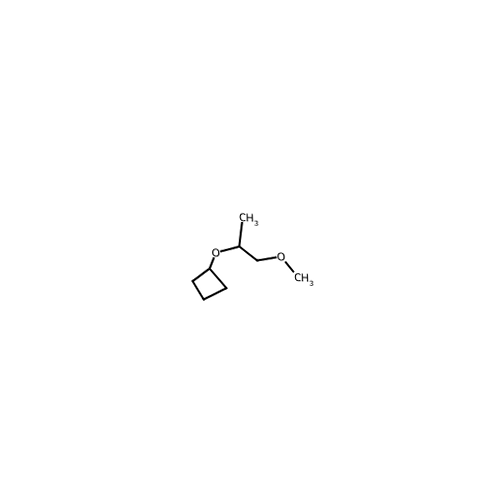 COCC(C)OC1CCC1